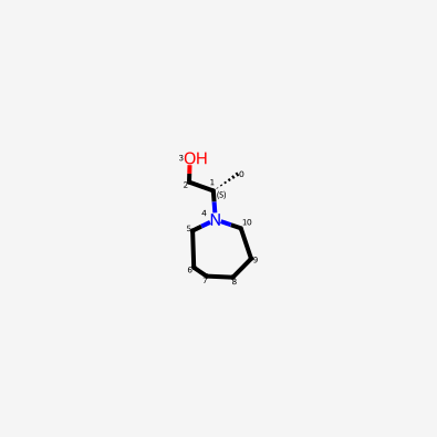 C[C@@H](CO)N1CCCCCC1